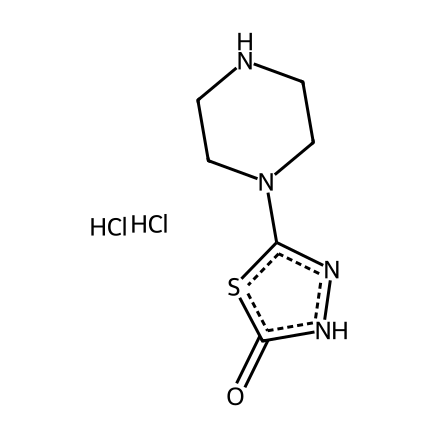 Cl.Cl.O=c1[nH]nc(N2CCNCC2)s1